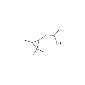 CC(O)CC1C(C)C1(C)C